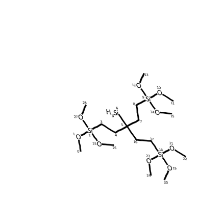 CO[Si](CCC([SiH3])(CC[Si](OC)(OC)OC)CC[Si](OC)(OC)OC)(OC)OC